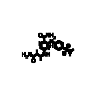 CC(Nc1cnc(C(N)=O)c(Nc2ccc(S(=O)(=O)N(C)C)cc2)n1)C(C)C(N)=O